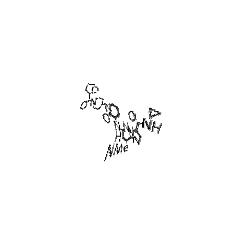 CNc1cc(Nc2cccn(C3CCN(C(=O)C4CCCO4)CC3)c2=O)nn2c(C(=O)NC3CC3)cnc12